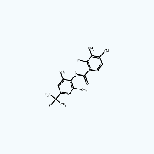 Cc1cc(C(F)(C(F)(F)F)C(F)(F)F)cc(C)c1NC(=O)c1ccc(C#N)c(N)c1F